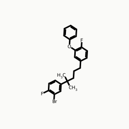 CC(C)(CCCc1ccc(F)c(Oc2ccccc2)c1)c1ccc(F)c(Br)c1